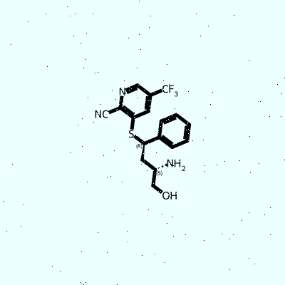 N#Cc1ncc(C(F)(F)F)cc1S[C@H](C[C@H](N)CO)c1ccccc1